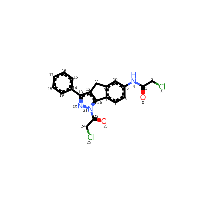 O=C(CCl)Nc1ccc2c(c1)Cc1c(-c3ccccc3)nn(C(=O)CCl)c1-2